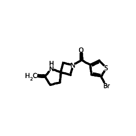 C=C1CCC2(CN(C(=O)c3csc(Br)c3)C2)N1